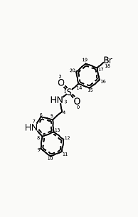 O=S(=O)(NCc1c[nH]c2ccccc12)c1ccc(Br)cc1